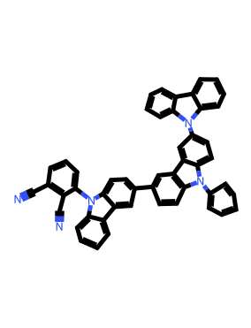 N#Cc1cccc(-n2c3ccccc3c3cc(-c4ccc5c(c4)c4cc(-n6c7ccccc7c7ccccc76)ccc4n5-c4ccccc4)ccc32)c1C#N